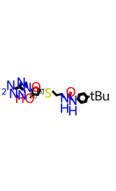 CC(C)(C)c1ccc(NC(=O)NCCCSC[C@@H]2C[C@@H](O)C(n3cnc4c(N)ncnc43)O2)cc1